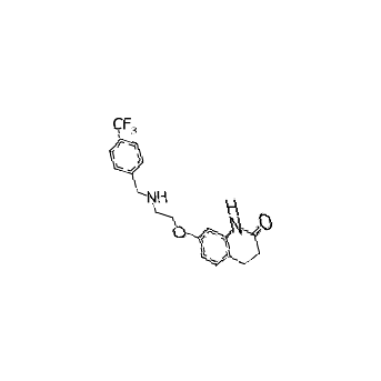 O=C1CCc2ccc(OCCNCc3ccc(C(F)(F)F)cc3)cc2N1